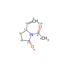 C=CC1CCC(=O)N1C(C)=O